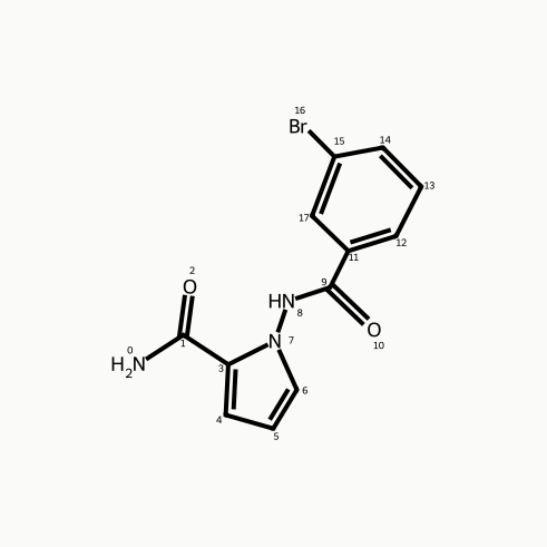 NC(=O)c1cccn1NC(=O)c1cccc(Br)c1